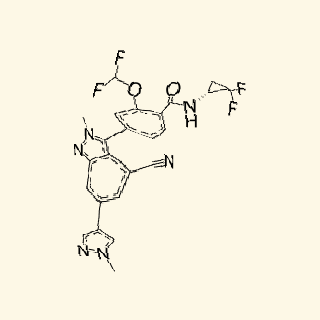 Cn1cc(-c2cc(C#N)c3c(-c4ccc(C(=O)N[C@@H]5CC5(F)F)c(OC(F)F)c4)n(C)nc3c2)cn1